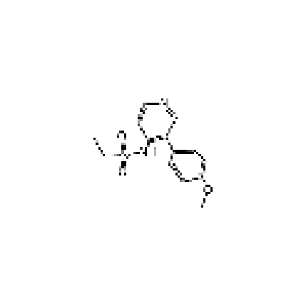 CCS(=O)(=O)Nc1ccncc1-c1ccc(OC)cc1